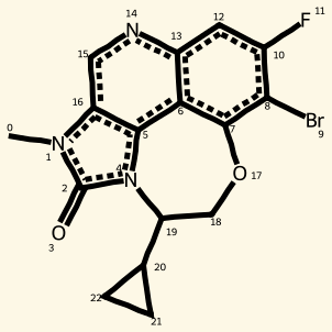 Cn1c(=O)n2c3c4c(c(Br)c(F)cc4ncc31)OCC2C1CC1